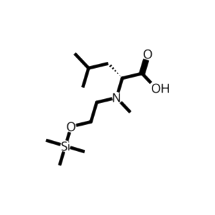 CC(C)C[C@H](C(=O)O)N(C)CCO[Si](C)(C)C